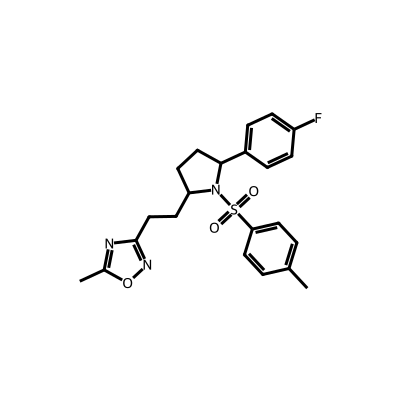 Cc1ccc(S(=O)(=O)N2C(CCc3noc(C)n3)CCC2c2ccc(F)cc2)cc1